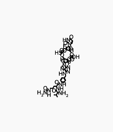 CC(C)C(N)C(=O)NC(CCCNC(N)=O)C(=O)Nc1ccc(CNc2ncnc3c2ncn3[C@@H]2O[C@@H]3COP(=O)(S)O[C@H]4[C@@H](F)[C@H](n5ccc(=O)[nH]c5=O)O[C@@H]4COP(=O)(O)O[C@H]3[C@H]2F)cc1